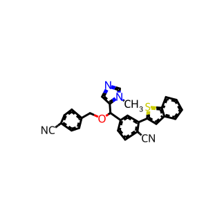 Cn1cncc1C(OCc1ccc(C#N)cc1)c1ccc(C#N)c(-c2cc3ccccc3s2)c1